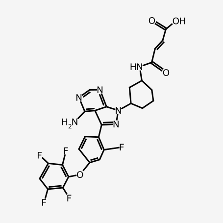 Nc1ncnc2c1c(-c1ccc(Oc3c(F)c(F)cc(F)c3F)cc1F)nn2C1CCCC(NC(=O)C=CC(=O)O)C1